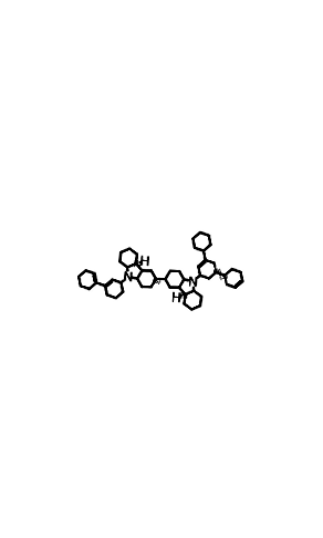 C1=CC[C@@H]([C@@H]2CC(C3CCCCC3)=CC(N3C4CCC([C@H]5CCC6C(C5)[C@@H]5CCCCC5N6C5C=C(C6=CCCCC6)CCC5)CC4[C@@H]4CCCCC43)C2)CC1